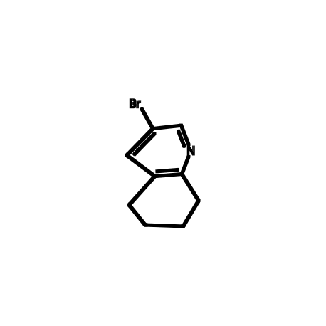 Brc1cnc2c(c1)CCCC2